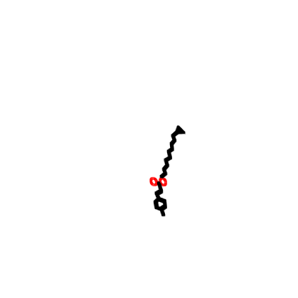 Cc1ccc(C=CC(=O)OCCCCCCCCCCCC2CC2)cc1